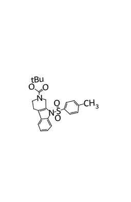 Cc1ccc(S(=O)(=O)n2c3c(c4ccccc42)CCN(C(=O)OC(C)(C)C)C3)cc1